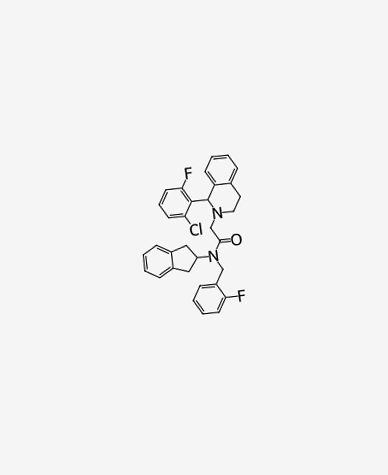 O=C(CN1CCc2ccccc2C1c1c(F)cccc1Cl)N(Cc1ccccc1F)C1Cc2ccccc2C1